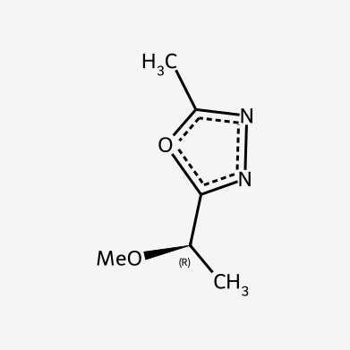 CO[C@H](C)c1nnc(C)o1